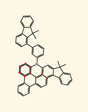 CC1(C)c2ccccc2-c2ccc(N(c3cccc(-c4cccc5c4C(C)(C)c4ccccc4-5)c3)c3ccccc3-c3ccccc3-c3ccccc3-c3ccccc3)cc21